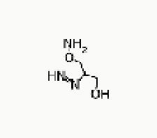 N=NC(CO)CON